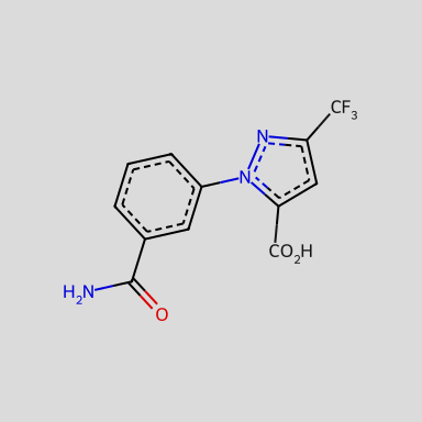 NC(=O)c1cccc(-n2nc(C(F)(F)F)cc2C(=O)O)c1